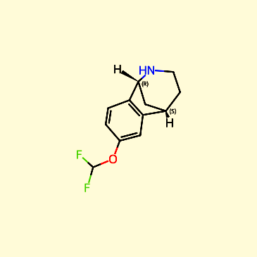 FC(F)Oc1ccc2c(c1)[C@H]1CCN[C@@H]2C1